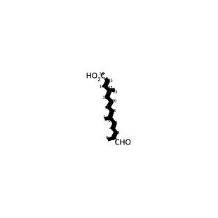 C\C(C=O)=C/C=C/C(C)=C/C=C/C=C(C)/C=C/C(=O)O